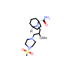 COC(CN1CCN(S(C)(=O)=O)CC1)CN1[C@@H]2C[CH]C[C@@]1(C(N)=O)CC2